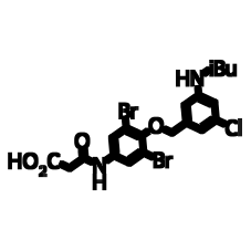 CCC(C)Nc1cc(Cl)cc(COc2c(Br)cc(NC(=O)CC(=O)O)cc2Br)c1